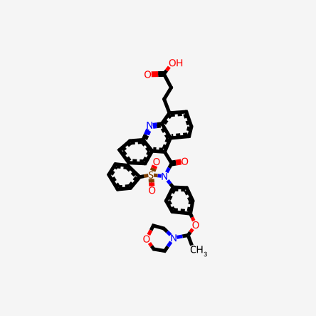 CC(Oc1ccc(N(C(=O)c2c3ccccc3nc3c(CCC(=O)O)cccc23)S(=O)(=O)c2ccccc2)cc1)N1CCOCC1